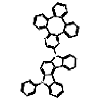 c1ccc(-n2c3ccccc3c3c4c5ccccc5n(-c5cnc6c(n5)-c5ccccc5-c5ccccc5-c5ccccc5-6)c4ccc32)cc1